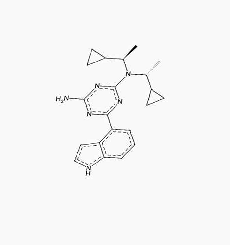 C[C@H](C1CC1)N(c1nc(N)nc(-c2cccc3[nH]ccc23)n1)[C@H](C)C1CC1